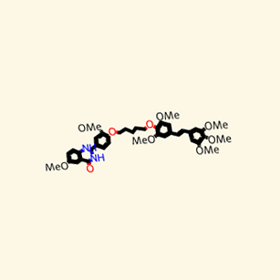 COc1ccc2c(c1)C(=O)NC(c1ccc(OCCCCCOc3c(OC)cc(/C=C/c4cc(OC)c(OC)c(OC)c4)cc3OC)c(OC)c1)N2